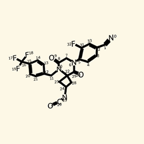 N#Cc1ccc(N2CC(=O)N(Cc3ccc(C(F)(F)F)cc3)C3(CC(N=C=O)C3)C2=O)c(F)c1